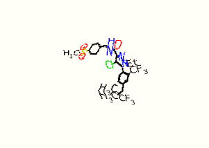 CCn1nc(C(=O)NCC2CCC(S(C)(=O)=O)CC2)c(Cl)c1-c1ccc(CC(C)(C)C(F)(F)F)cc1C(F)(F)F